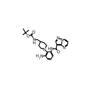 CC(C)(C)OC(=O)NCC1CCN(c2c(N)cccc2NC(=O)c2cnn3cccnc23)CC1